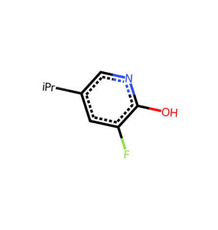 CC(C)c1cnc(O)c(F)c1